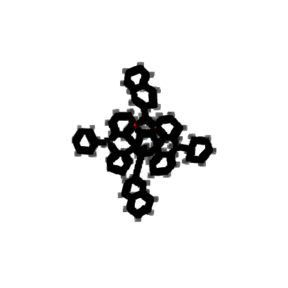 c1ccc(N2c3ccccc3C3(c4ccccc42)c2cc(-c4ccc5ccccc5c4)sc2C2(c4ccccc4N(c4ccccc4)c4ccccc42)c2cc(-c4ccc5ccccc5c4)sc23)cc1